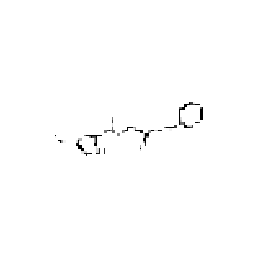 CCc1c[nH]c(NCCC(=O)OCc2ccccc2)n1